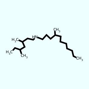 CCCCCCCC(C)CCCNCCC(C)CC(C)CC